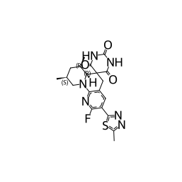 Cc1nnc(-c2cc3c(nc2F)N2C[C@@H](C)C[C@@H](C)[C@@H]2C2(C3)C(=O)NC(=O)NC2=O)s1